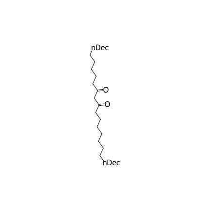 CCCCCCCCCCCCCCCCCC(=O)CC(=O)CCCCCCCCCCCCCCC